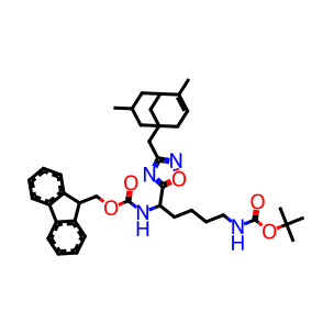 CC1=CCC2(Cc3noc(C(CCCCNC(=O)OC(C)(C)C)NC(=O)OCC4c5ccccc5-c5ccccc54)n3)CC(C)CC1C2